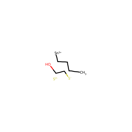 CCC[CH2][Sn+3].OCC[S-].[S-2]